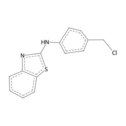 ClCc1ccc(Nc2nc3ccccc3s2)cc1